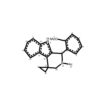 COc1ccccc1C1c2[nH]c3ccccc3c2C2(CC2)CN1C(C)=O